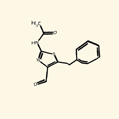 CC(=O)Nc1nc(C=O)c(Cc2ccccc2)s1